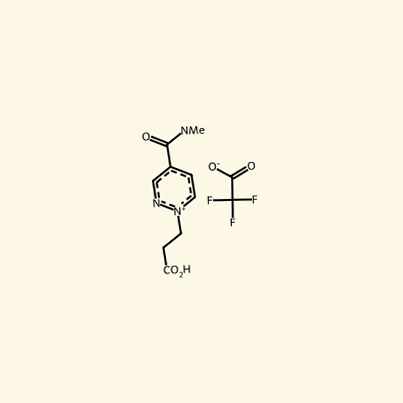 CNC(=O)c1cc[n+](CCC(=O)O)nc1.O=C([O-])C(F)(F)F